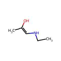 CCN/C=C(/C)O